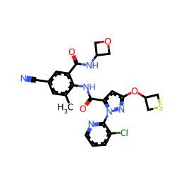 Cc1cc(C#N)cc(C(=O)NC2COC2)c1NC(=O)c1cc(OC2CSC2)nn1-c1ncccc1Cl